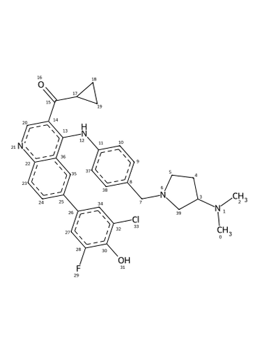 CN(C)C1CCN(Cc2ccc(Nc3c(C(=O)C4CC4)cnc4ccc(-c5cc(F)c(O)c(Cl)c5)cc34)cc2)C1